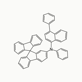 c1ccc(-c2ccc(N(c3ccccc3)c3ccc4c(c3)C3(c5ccccc5-c5ccccc53)c3ccccc3-4)c3ccccc23)cc1